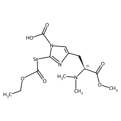 CCOC(=O)[Se]c1nc(C[C@@H](C(=O)OC)N(C)C)cn1C(=O)O